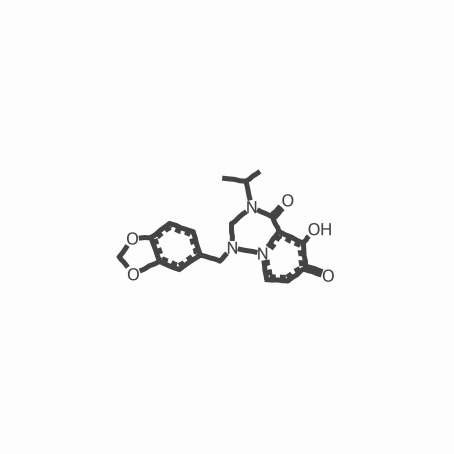 CC(C)N1CN(Cc2ccc3c(c2)OCO3)n2ccc(=O)c(O)c2C1=O